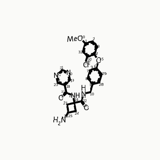 COc1ccc(Oc2ccc(CNC(=O)C3(NC(=O)c4cncnc4)CC(N)C3)cc2)c(C(F)(F)F)c1